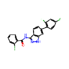 O=C(Nc1n[nH]c2cc(-c3ccc(F)cc3F)ccc12)c1ccccc1F